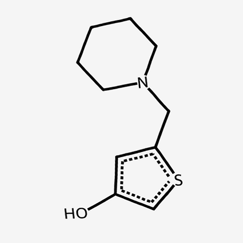 Oc1csc(CN2CCCCC2)c1